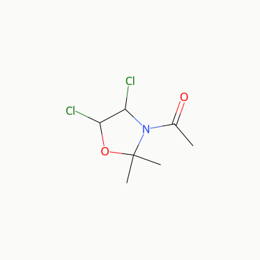 CC(=O)N1C(Cl)C(Cl)OC1(C)C